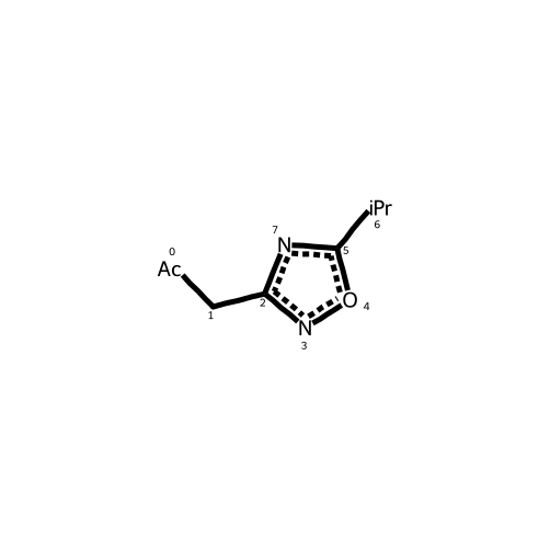 CC(=O)Cc1noc(C(C)C)n1